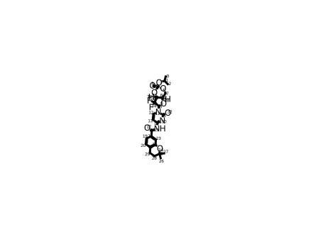 CC(C)OP1(=O)OC[C@H]2OC(n3ccc(NC(=O)c4ccc5c(c4)OC(C)(C)CC5)nc3=O)C(F)(F)[C@@H]2O1